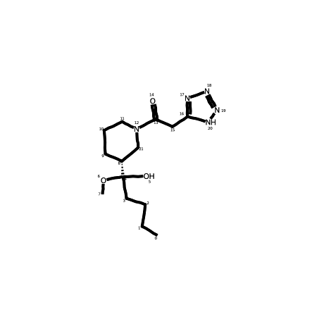 CCCCC(O)(OC)[C@@H]1CCCN(C(=O)Cc2nnn[nH]2)C1